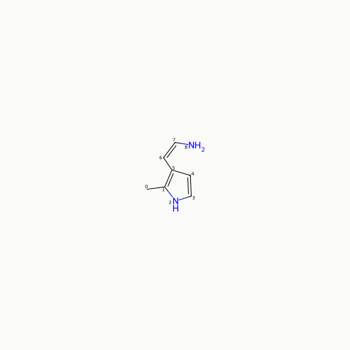 Cc1[nH]ccc1/C=C\N